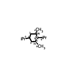 CC(C)C1C[C@@H](C)N(C(C)C)[C@@H](C)C1